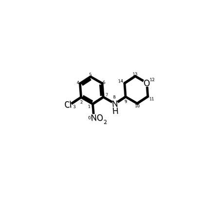 O=[N+]([O-])c1c(Cl)cccc1NC1CCOCC1